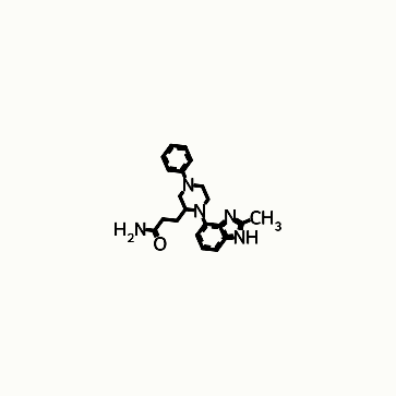 Cc1nc2c(N3CCN(c4ccccc4)CC3CCC(N)=O)cccc2[nH]1